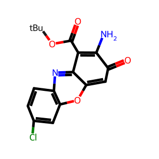 CC(C)(C)OC(=O)c1c2nc3ccc(Cl)cc3oc-2cc(=O)c1N